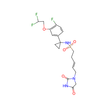 O=C1CN(C/C=C/CCS(=O)(=O)NC2(c3ccc(F)c(OCC(F)F)c3)CC2)C(=O)N1